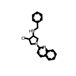 ClC1CN(c2ccc3ccccc3n2)CC1NCc1ccccc1